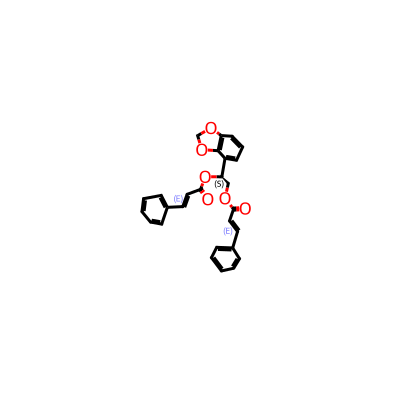 O=C(/C=C/c1ccccc1)OC[C@@H](OC(=O)/C=C/c1ccccc1)c1cccc2c1OCO2